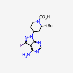 CC(C)(C)C1CC(n2nc(I)c3c(N)ncnc32)CCN1C(=O)O